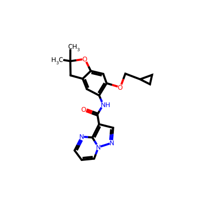 CC1(C)Cc2cc(NC(=O)c3cnn4cccnc34)c(OCC3CC3)cc2O1